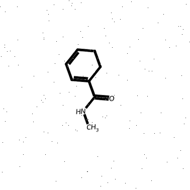 CNC(=O)C1=CC=CCC1